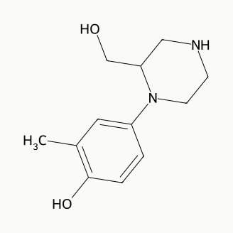 Cc1cc(N2CCNCC2CO)ccc1O